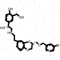 OCc1cc([C@@H](O)CNCCc2ccc3c(c2)O[C@H](COCc2cncc(Br)c2)CO3)ccc1O